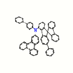 c1ccc(-c2ccc(N(c3ccc4c5ccccc5c5ccccc5c4c3)c3cccc4c3-c3ccc(-c5ccccc5)cc3C43c4ccccc4-c4ccccc43)cc2)cc1